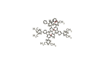 Cc1nc(C)nc(-c2ccc3c(c2)c2cc(-c4nc(C)nc(C)n4)ccc2n3-c2cnccc2-c2ccc(-c3nc(-c4ccccc4)nc(-c4ccccc4)n3)cc2-n2c3ccc(-c4nc(C)nc(C)n4)cc3c3cc(-c4nc(C)nc(C)n4)ccc32)n1